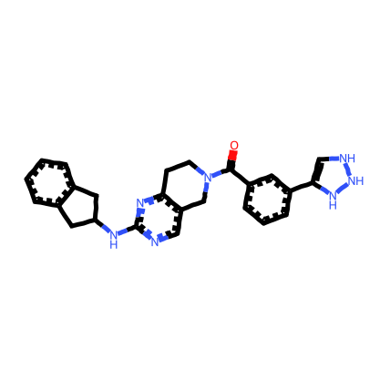 O=C(c1cccc(C2=CNNN2)c1)N1CCc2nc(NC3Cc4ccccc4C3)ncc2C1